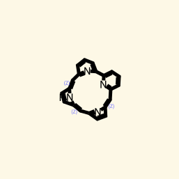 C1=C/C2=C/c3cccc(n3)-c3cccc(n3)/C=c3/cc/c([nH]3)=C/C1=N2